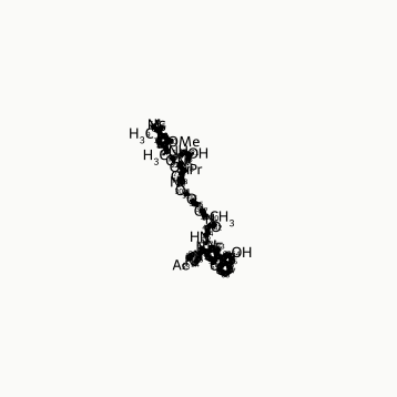 COc1cc(-c2scnc2C)ccc1[C@H](C)NC(=O)[C@@H]1C[C@@H](O)CN1C(=O)C(c1cc(OCCOCCOCCN(C)C(=O)CCNc2nc(N3CCN(C(C)=O)CC3)c3cc(Cl)c(-c4cc(O)cc5ccccc45)c(F)c3n2)no1)C(C)C